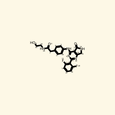 O=C(Cc1ccc(Nc2nc(-c3c(F)cccc3F)nc3c2C(=O)NC3)cc1)NCCO